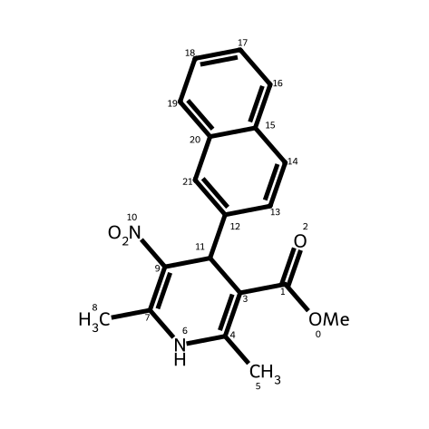 COC(=O)C1=C(C)NC(C)=C([N+](=O)[O-])C1c1ccc2ccccc2c1